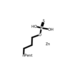 CCCCCCCCOP(O)(O)=S.[Zn]